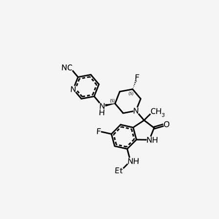 CCNc1cc(F)cc2c1NC(=O)C2(C)N1C[C@@H](F)C[C@H](Nc2ccc(C#N)nc2)C1